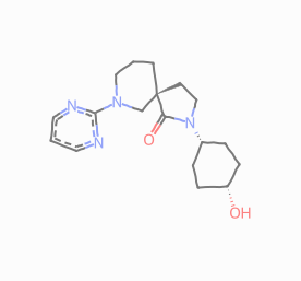 O=C1N([C@H]2CC[C@@H](O)CC2)CC[C@@]12CCCN(c1ncccn1)C2